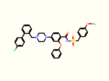 COc1ccc(CS(=O)(=O)NC(=O)c2ccc(N3CCN(Cc4ccccc4-c4ccc(Cl)cc4)CC3)cc2Oc2ccccc2)cc1